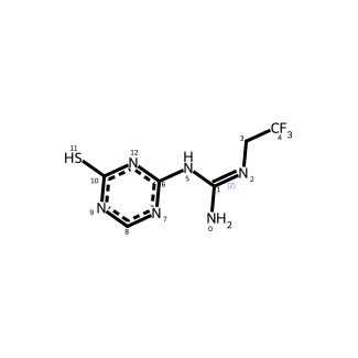 N/C(=N/CC(F)(F)F)Nc1ncnc(S)n1